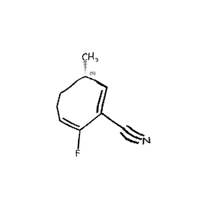 C[C@@H]1C=C(C#N)C(F)=CC1